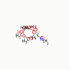 CC[C@H]1C(=O)C(C)(C)[C@@H](O)CC(=O)O[C@H](C(F)=Cc2coc(C)n2)C[C@@H]2O[C@]2(C)CCO[C@H](C)[C@H]1O